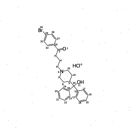 Cl.O=C(CCCN1CCC(C(O)(c2ccccc2)c2ccccc2)CC1)c1ccc(Br)cc1